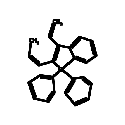 C=CC1=C(/C=C\C)[Si](c2ccccc2)(c2ccccc2)c2ccccc21